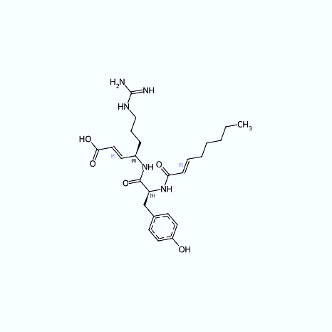 CCCCC/C=C/C(=O)N[C@@H](Cc1ccc(O)cc1)C(=O)N[C@@H](/C=C/C(=O)O)CCCNC(=N)N